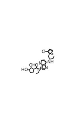 CCC(Cc1sccc1Cl)Nc1ccnc2c1ncn2N(CC)C(=O)C1CCC(O)C1O